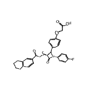 O=C(O)COc1ccc(C2C(SCC(=O)c3ccc4c(c3)CCCC4)C(=O)N2c2ccc(F)cc2)cc1